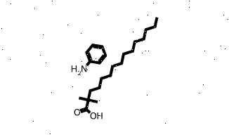 CCCCCCCCCCCCCC(C)(C)C(=O)O.Nc1ccccc1